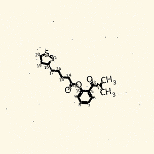 CN(C)C(=O)c1ccccc1OC(=O)CCCC[C@H]1CCSS1